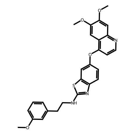 COc1cccc(CCNc2nc3ccc(Oc4ccnc5cc(OC)c(OC)cc45)cc3s2)c1